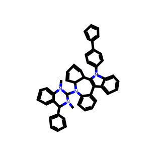 CN1c2ccccc2C(c2ccccc2)N(C)C1N1c2ccccc2-c2c(n(-c3ccc(-c4ccccc4)cc3)c3ccccc23)C2C=CC=CC21